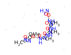 C=C1CC2C=Nc3cc(OCCCC(=O)Nc4cc(C(=O)Nc5cc(C(=O)Nc6cc(C(=O)NCCCOC(=O)CN)n(C)c6)n(C)c5)n(C)c4)c(OC)cc3C(=O)N2C1